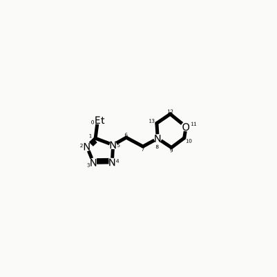 CCc1nnnn1CCN1CCOCC1